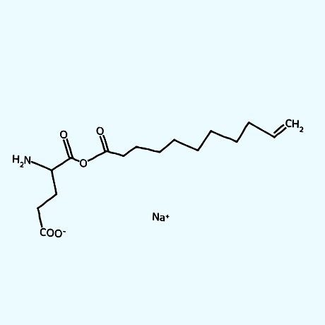 C=CCCCCCCCCC(=O)OC(=O)C(N)CCC(=O)[O-].[Na+]